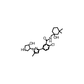 Cc1cc(-c2ccc(Cl)c(C(=O)NCC3(O)CCCC(C)(C)C3)c2)nn1C1CNCC1O